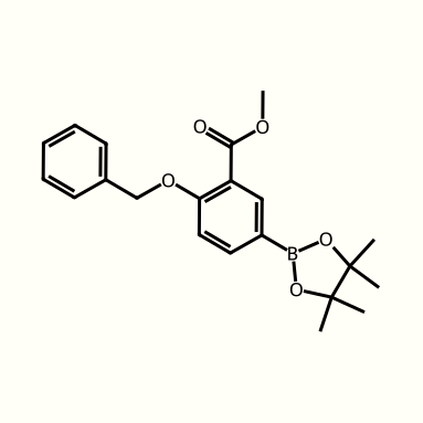 COC(=O)c1cc(B2OC(C)(C)C(C)(C)O2)ccc1OCc1ccccc1